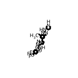 CCc1cc(-c2ccc3c(NS(=O)(=O)c4ccc(OC(F)(F)F)cc4)ncnn23)cc2cnc(N[C@H]3CCCNC3)nc12